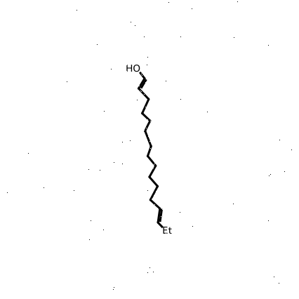 CCC=CCCCCCCCCCCC=CO